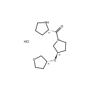 Cl.O=C([C@@H]1CCCN1)N1CC[C@@H](O[C@@H]2CCOC2)C1